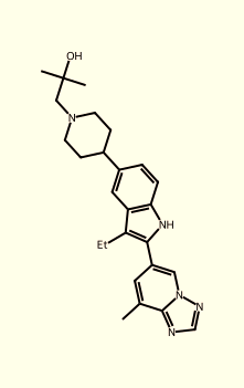 CCc1c(-c2cc(C)c3ncnn3c2)[nH]c2ccc(C3CCN(CC(C)(C)O)CC3)cc12